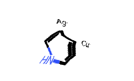 [Ag].[Cu].c1cc[nH]c1